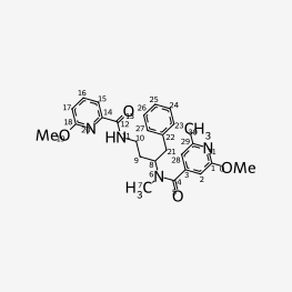 COc1cc(C(=O)N(C)C(CCNC(=O)c2cccc(OC)n2)Cc2ccccc2)cc(C)n1